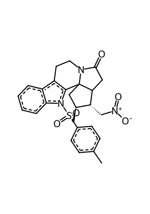 Cc1ccc(S(=O)(=O)n2c3c(c4ccccc42)CCN2C(=O)CC4[C@H](C[N+](=O)[O-])[C@@H](C)CC342)cc1